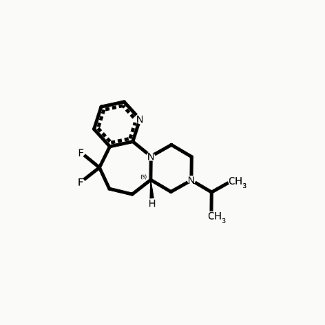 CC(C)N1CCN2c3ncccc3C(F)(F)CC[C@H]2C1